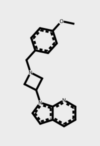 COc1ccc(CN2CC(n3ccc4cccnc43)C2)cc1